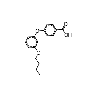 CCCCOc1cccc(Oc2ccc(C(=O)O)cc2)c1